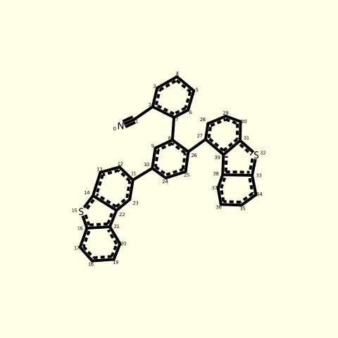 N#Cc1ccccc1-c1cc(-c2ccc3sc4ccccc4c3c2)ccc1-c1cccc2sc3ccccc3c12